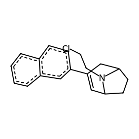 ClCCN1C2C=C(c3ccc4ccccc4c3)CC1CC2